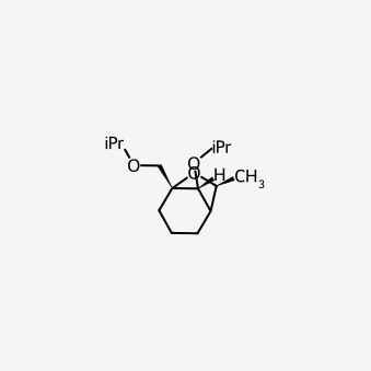 CC(C)OC[C@@]12CCCC([C@H](C)O1)[C@H]2OC(C)C